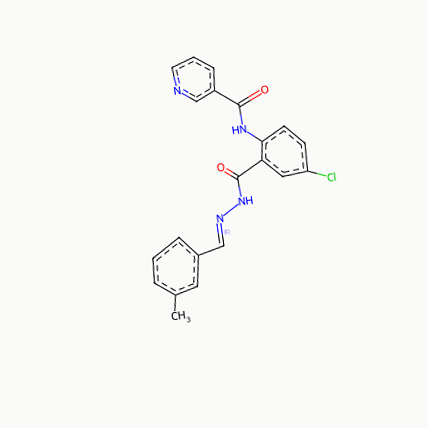 Cc1cccc(/C=N/NC(=O)c2cc(Cl)ccc2NC(=O)c2cccnc2)c1